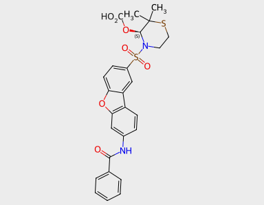 CC1(C)SCCN(S(=O)(=O)c2ccc3oc4cc(NC(=O)c5ccccc5)ccc4c3c2)[C@H]1OC(=O)O